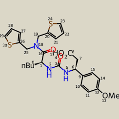 CCCC[C@H](NC(=O)N[C@@H](CC(=O)O)c1ccc(OC)cc1)C(=O)N(Cc1cccs1)Cc1cccs1